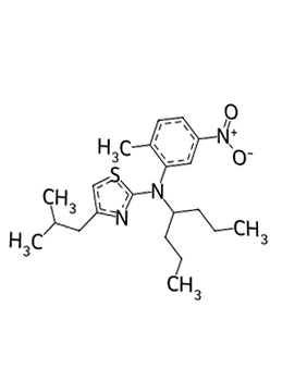 CCCC(CCC)N(c1nc(CC(C)C)cs1)c1cc([N+](=O)[O-])ccc1C